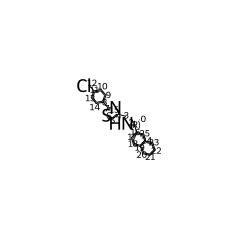 C[C@@H](NCc1csc(-c2ccc(Cl)cc2)n1)c1ccc2ccccc2c1